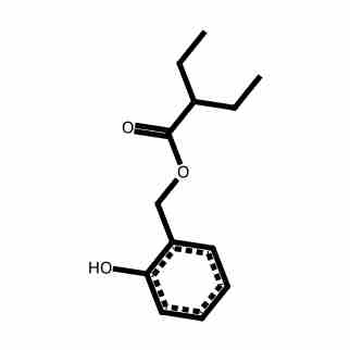 CCC(CC)C(=O)OCc1ccccc1O